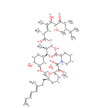 C=C/C=C/C=C(\C)CC[C@@H]1CC[C@@H](C)[C@](O)(C(=O)C(=O)N2CCCCC2C(=O)O[C@@H](CC(=O)[C@H](C)/C=C(\C)[C@@H](O)[C@@H](OC)C(=O)[C@H](C)CC(C)C)[C@H](C)C[C@@H]2CC[C@@H](O)[C@H](OC)C2)O1